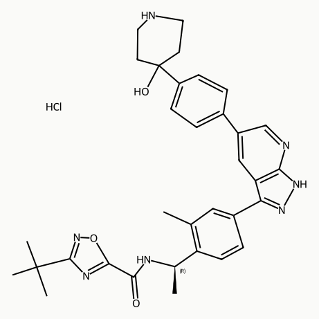 Cc1cc(-c2n[nH]c3ncc(-c4ccc(C5(O)CCNCC5)cc4)cc23)ccc1[C@@H](C)NC(=O)c1nc(C(C)(C)C)no1.Cl